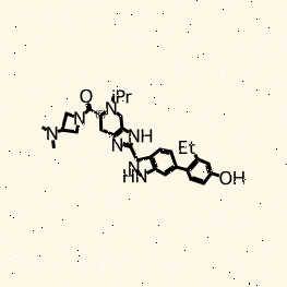 CCc1cc(O)ccc1-c1ccc2c(-c3nc4c([nH]3)CN(C(C)C)[C@H](C(=O)N3CC(N(C)C)C3)C4)n[nH]c2c1